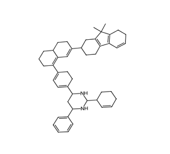 CC1(C)C2=C(C=CCC2)C2=C1CC(C1=CC3=C(C4=CC=C(C5CC(c6ccccc6)NC(C6C=CCCC6)N5)CC4)CCCC3CC1)CC2